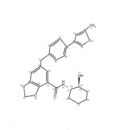 Cc1nc(-c2ccc(Cc3cc4c(c(C(=O)N[C@H]5CCCC[C@@H]5O)c3)OCO4)cc2)co1